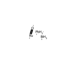 [BiH3].[O]=[Ru].[PbH2]